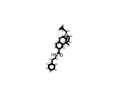 C[C@H]1C2Cc3ccc(C(=O)NCCc4ccccc4)cc3C1(C)CCN2CC1CC1